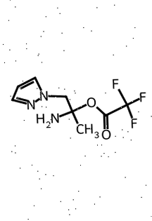 CC(N)(Cn1cccn1)OC(=O)C(F)(F)F